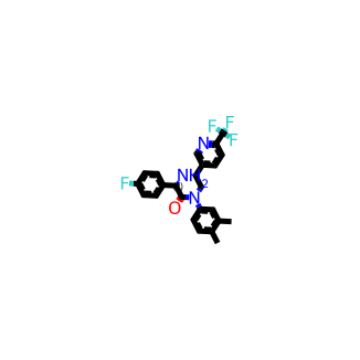 Cc1ccc(N(CCc2ccc(C(F)(F)F)nc2)C(=O)[C@H](N)c2ccc(F)cc2)cc1C